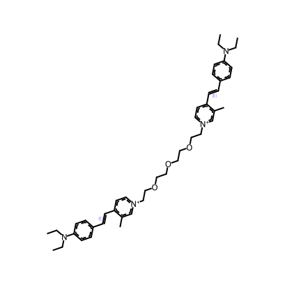 CCN(CC)c1ccc(/C=C/c2cc[n+](CCOCCOCCOCC[n+]3ccc(/C=C/c4ccc(N(CC)CC)cc4)c(C)c3)cc2C)cc1